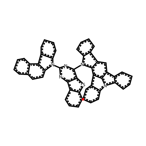 c1ccc2c(c1)ccc1c2c2ccccc2n1-c1nc(-n2c3ccccc3c3cc4c5ccccc5n5c6ccccc6c(c32)c45)c2sc3ccccc3c2n1